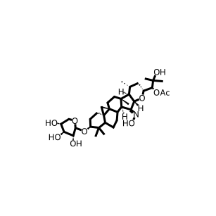 CC(=O)O[C@@H]([C@H]1C[C@@H](C)[C@H]2[C@H](O1)/C(=N/O)[C@H]1C3CCC4C(C)(C)[C@@H](OC5OC[C@@H](O)[C@H](O)[C@H]5O)CC[C@@]45C[C@@]35CC[C@]21C)C(C)(C)O